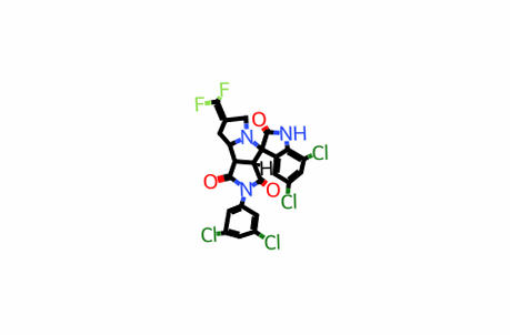 O=C1C2C3CC(=C(F)F)CN3C3(C(=O)Nc4c(Cl)cc(Cl)cc43)[C@@H]2C(=O)N1c1cc(Cl)cc(Cl)c1